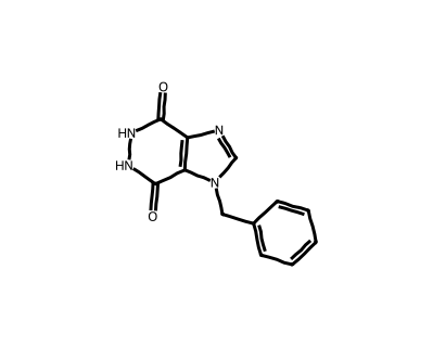 O=c1[nH][nH]c(=O)c2c1ncn2Cc1ccccc1